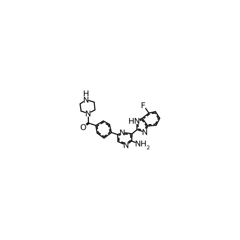 Nc1ncc(-c2ccc(C(=O)N3CCNCC3)cc2)nc1-c1nc2cccc(F)c2[nH]1